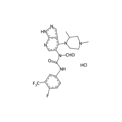 CC1CN(C)CCN1c1c(N(C=O)C(=O)Nc2ccc(F)c(C(F)(F)F)c2)cnc2[nH]ncc12.Cl